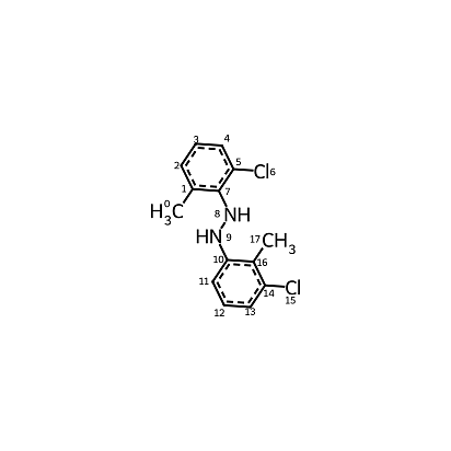 Cc1cccc(Cl)c1NNc1cccc(Cl)c1C